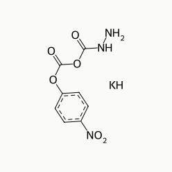 NNC(=O)OC(=O)Oc1ccc([N+](=O)[O-])cc1.[KH]